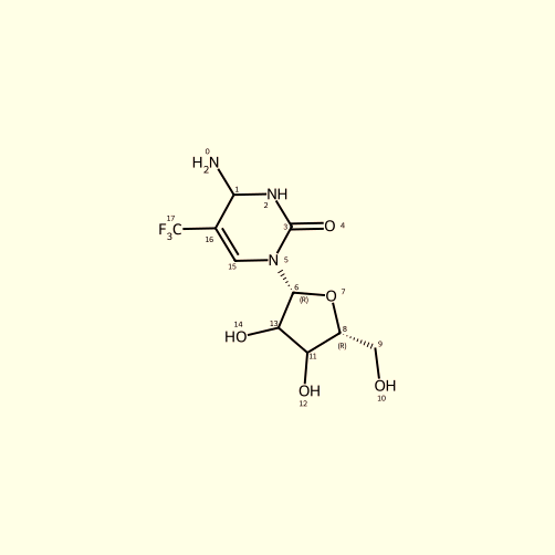 NC1NC(=O)N([C@@H]2O[C@H](CO)C(O)C2O)C=C1C(F)(F)F